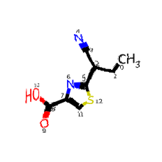 CCC(C#N)c1nc(C(=O)O)cs1